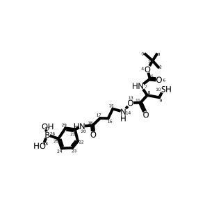 CC(C)(C)OC(=O)NC(CS)C(=O)ONCCCC(=O)Nc1cccc(B(O)O)c1